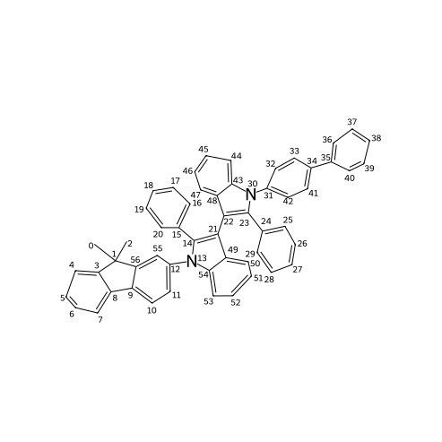 CC1(C)c2ccccc2-c2ccc(-n3c(-c4ccccc4)c(-c4c(-c5ccccc5)n(-c5ccc(-c6ccccc6)cc5)c5ccccc45)c4ccccc43)cc21